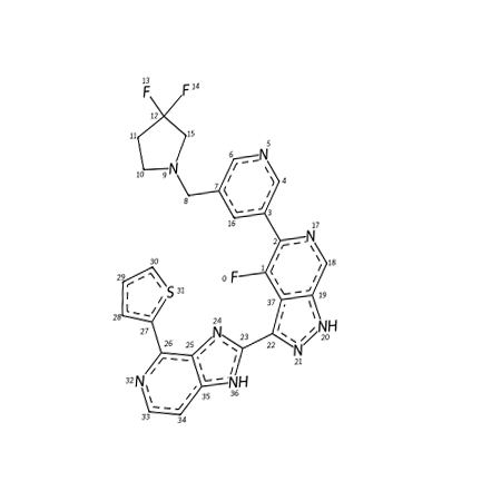 Fc1c(-c2cncc(CN3CCC(F)(F)C3)c2)ncc2[nH]nc(-c3nc4c(-c5cccs5)nccc4[nH]3)c12